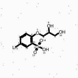 [Li][c]1ccc(OCC(O)CO)c(S(=O)(=O)O)c1